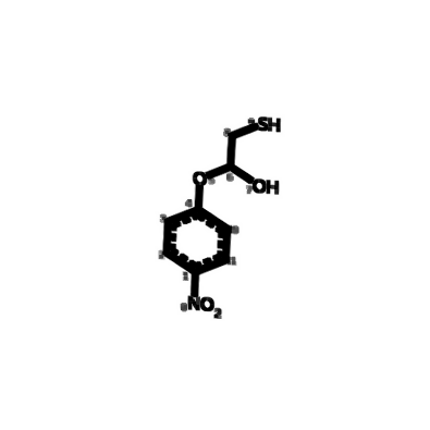 O=[N+]([O-])c1ccc(OC(O)CS)cc1